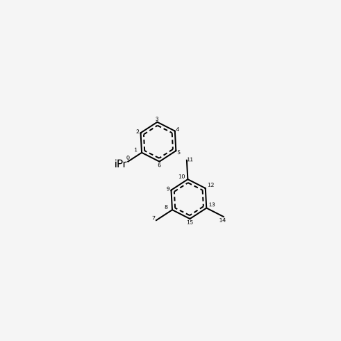 CC(C)c1ccccc1.Cc1cc(C)cc(C)c1